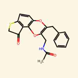 CC(=O)NCC1=C(Cc2ccccc2)Oc2ccc3c(c2O1)C(=O)CS3